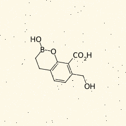 O=C(O)c1c(CO)ccc2c1OB(O)CC2